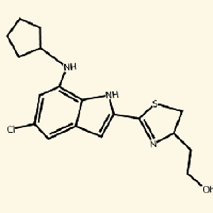 OCCC1CSC(c2cc3cc(Cl)cc(NC4CCCC4)c3[nH]2)=N1